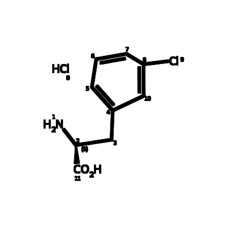 Cl.N[C@@H](Cc1cccc(Cl)c1)C(=O)O